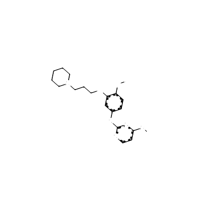 CNc1ccnc(Nc2ccc(OC)c(OCCCN3CCCCC3)c2)n1